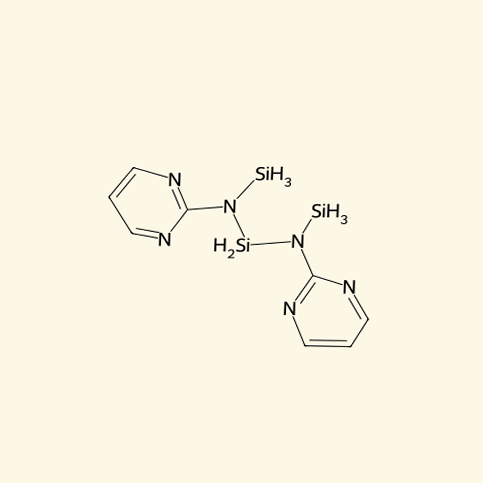 [SiH3]N([SiH2]N([SiH3])c1ncccn1)c1ncccn1